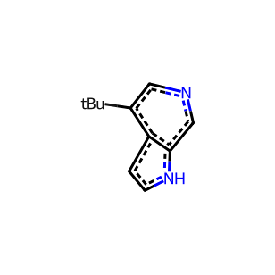 CC(C)(C)c1cncc2[nH]ccc12